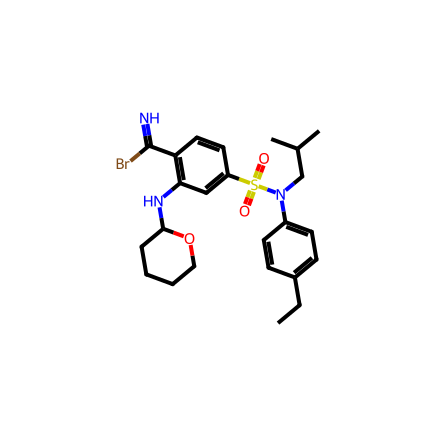 CCc1ccc(N(CC(C)C)S(=O)(=O)c2ccc(C(=N)Br)c(NC3CCCCO3)c2)cc1